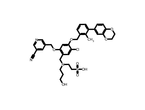 Cc1c(COc2cc(OCc3cncc(C#N)c3)c(CN(CCCO)CCS(=O)(=O)O)cc2Cl)cccc1-c1ccc2c(c1)OCCO2